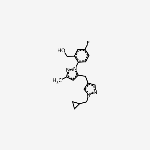 Cc1cc(Cc2cnn(CC3CC3)c2)n(-c2ccc(F)cc2CO)n1